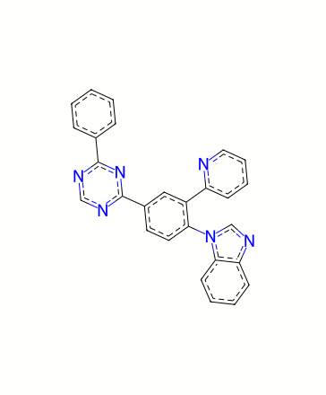 c1ccc(-c2ncnc(-c3ccc(-n4cnc5ccccc54)c(-c4ccccn4)c3)n2)cc1